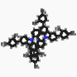 N#Cc1cccc(-n2c3ccc(-c4ccc(C(F)(F)F)cc4C(F)(F)F)cc3c3cc(-c4ccc(C(F)(F)F)cc4C(F)(F)F)ccc32)c1-c1cc(-c2c(C(F)(F)F)cccc2C(F)(F)F)ccc1-n1c2ccc(-c3ccc(C(F)(F)F)cc3C(F)(F)F)cc2c2cc(-c3ccc(C(F)(F)F)cc3C(F)(F)F)ccc21